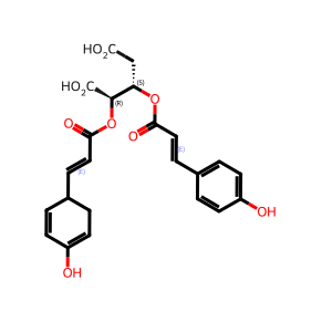 O=C(O)C[C@H](OC(=O)/C=C/c1ccc(O)cc1)[C@@H](OC(=O)/C=C/C1C=CC(O)=CC1)C(=O)O